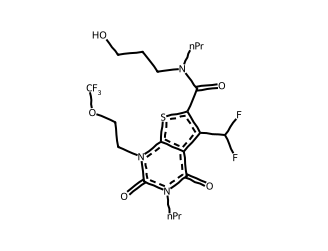 CCCN(CCCO)C(=O)c1sc2c(c1C(F)F)c(=O)n(CCC)c(=O)n2CCOC(F)(F)F